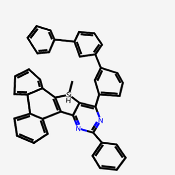 C[SiH]1c2c(-c3cccc(-c4cccc(-c5ccccc5)c4)c3)nc(-c3ccccc3)nc2-c2c1c1ccccc1c1ccccc21